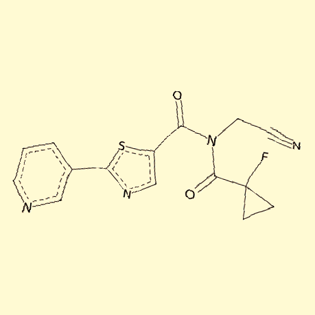 N#CCN(C(=O)c1cnc(-c2cccnc2)s1)C(=O)C1(F)CC1